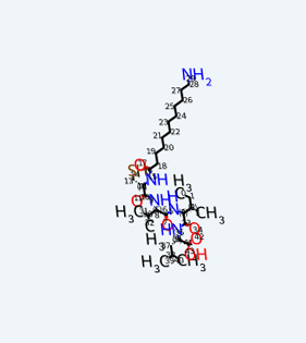 CC[C@H](C)[C@H](NC(=O)[C@@H](NC(=O)[C@H](CS)NC(=O)CCCCCCCCCCCN)C(C)C)C(=O)N[C@@H](CC(C)C)C(=O)O